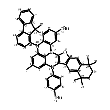 Cc1cc2c3c(c1)N(c1ccc(C(C)(C)C)cc1)c1c(oc4cc5c(cc14)C(C)(C)CCC5(C)C)B3c1cc(C(C)(C)C)ccc1N2c1cccc2c1C(C)(C)c1ccccc1-2